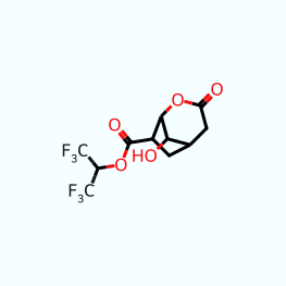 O=C1CC2CC(C(=O)OC(C(F)(F)F)C(F)(F)F)C(O1)C2O